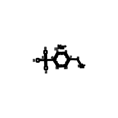 O=S(=O)([O-])c1ccc(CBr)cc1.[Na+]